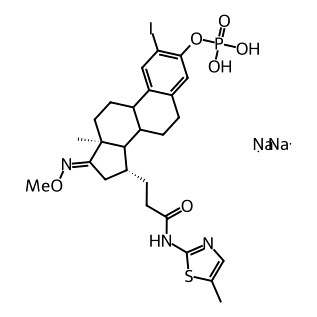 CON=C1C[C@@H](CCC(=O)Nc2ncc(C)s2)C2C3CCc4cc(OP(=O)(O)O)c(I)cc4C3CC[C@]12C.[Na].[Na]